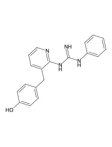 N=C(Nc1ccccc1)Nc1ncccc1Cc1ccc(O)cc1